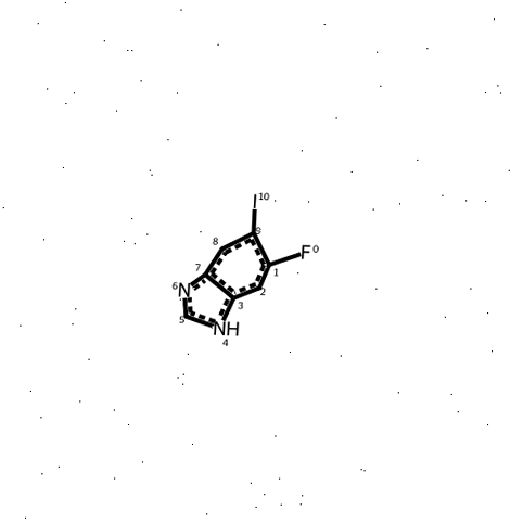 Fc1cc2[nH]cnc2cc1I